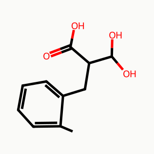 Cc1ccccc1CC(C(=O)O)C(O)O